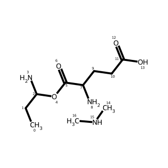 CCC(N)OC(=O)C(N)CCC(=O)O.CNC